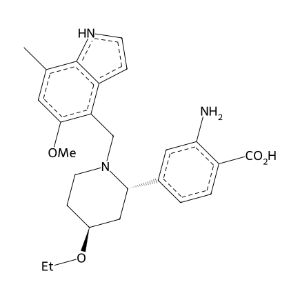 CCO[C@H]1CCN(Cc2c(OC)cc(C)c3[nH]ccc23)[C@H](c2ccc(C(=O)O)c(N)c2)C1